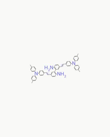 Cc1ccc(N(c2ccc(C)cc2)c2ccc(/C=C/c3ccc(N)c(-c4cc(/C=C/c5ccc(N(c6ccc(C)cc6)c6ccc(C)cc6)cc5)ccc4N)c3)cc2)cc1